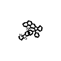 c1ccc(C2(c3ccccc3)c3ccccc3-c3cc4ccc5cccc6c5c4c(c32)n6-c2ccc3sc4cccnc4c3c2)cc1